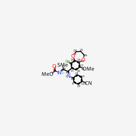 COC(=O)/N=C(SC)/C(=N/c1ccc(C#N)cc1)c1cc(OC)c2c(c1F)OCCCO2